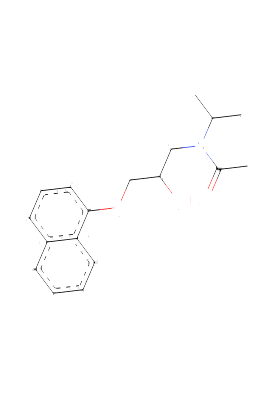 CC(=O)N(CC(O)COc1cccc2ccccc12)C(C)C